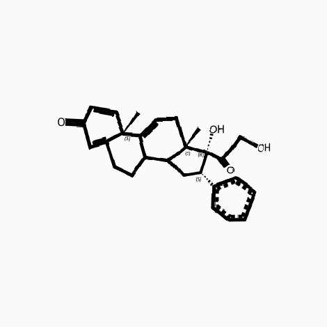 C[C@]12C=CC(=O)C=C1CCC1C2=CC[C@@]2(C)C1C[C@@H](c1ccccc1)[C@]2(O)C(=O)CO